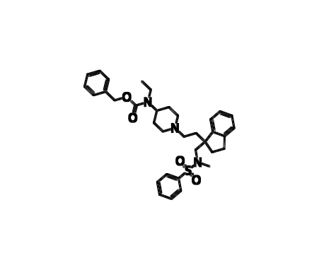 CCN(C(=O)OCc1ccccc1)C1CCN(CCC2(CN(C)S(=O)(=O)c3ccccc3)CCc3ccccc32)CC1